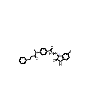 CN(C(=O)CCc1ccccc1)c1ccc(C(=O)N/N=C2\C(=O)Nc3ccc(I)cc32)cc1